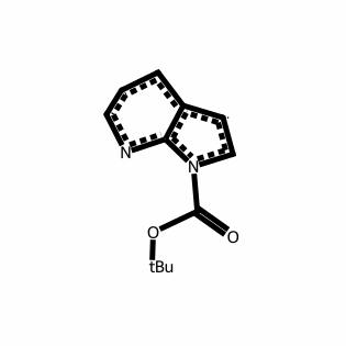 CC(C)(C)OC(=O)n1c[c]c2cccnc21